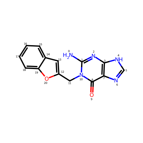 Nc1nc2[nH]cnc2c(=O)n1Cc1cc2ccccc2o1